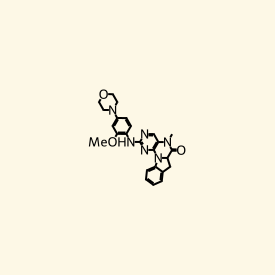 COc1cc(N2CCOCC2)ccc1Nc1ncc2c(n1)N1c3ccccc3CC1C(=O)N2C